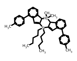 CCCCC[Si]1(CCCCC)C2=Cc3c(-c4ccc(C)cc4)cccc3[CH]2[Hf]([CH3])([CH3])[CH]2C1=Cc1c(-c3ccc(C)cc3)cccc12